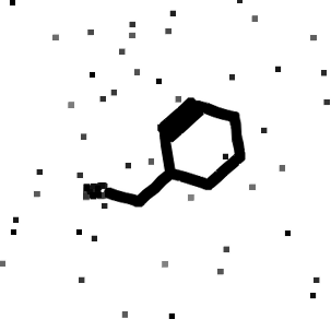 N#CCC1C#CCCC1